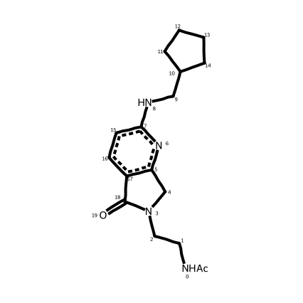 CC(=O)NCCN1Cc2nc(NCC3CCCC3)ccc2C1=O